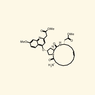 COC(=O)Cc1cc(O[C@@H]2C[C@H]3C(=O)N[C@H](CC(=O)OC)CCC=CCCCCC[C@H](N)C(=O)N3C2)c2ccc(OC)cc2n1